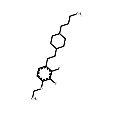 CCCCC1CCC(CCc2ccc(OCC)c(F)c2F)CC1